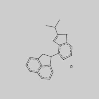 CC(C)C1=Cc2c(cccc2C2Cc3cccc4cccc2c34)[CH]1.[Zr]